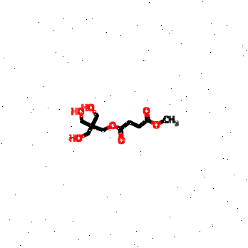 COC(=O)CCC(=O)OCC(CO)(CO)CO